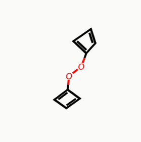 C1=CC(OOC2=CC=C2)=C1